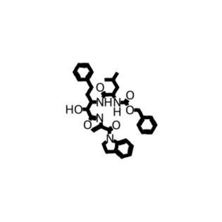 CC(C)CC(NC(=O)OCc1ccccc1)C(=O)NC(CCc1ccccc1)C(O)c1nc(C(=O)N2CCc3ccccc32)co1